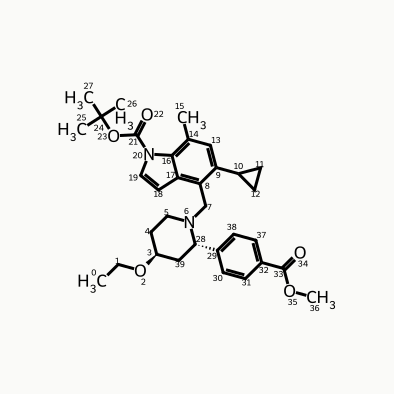 CCO[C@H]1CCN(Cc2c(C3CC3)cc(C)c3c2ccn3C(=O)OC(C)(C)C)[C@H](c2ccc(C(=O)OC)cc2)C1